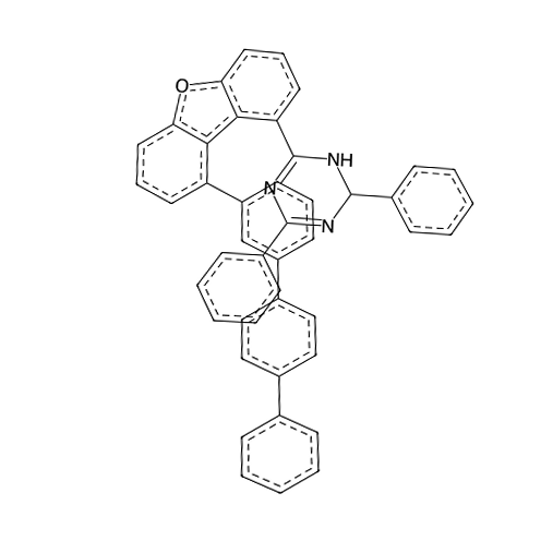 c1ccc(C2=NC(c3ccccc3)NC(c3cccc4oc5cccc(-c6cccc(-c7ccc(-c8ccccc8)cc7)c6)c5c34)=N2)cc1